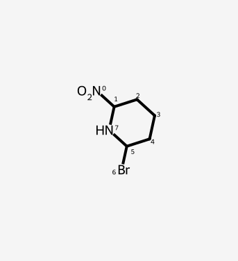 O=[N+]([O-])C1CCCC(Br)N1